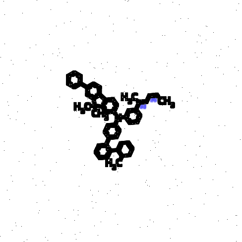 C/C=C\C=C(/C)c1cccc(N(c2ccc(-c3ccccc3C3=CC=CCC3C)cc2)c2ccc3c(c2)C(C)(C)c2cc(-c4ccccc4)ccc2-3)c1